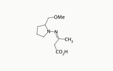 COCC1CCCN1N=C(C)CC(=O)O